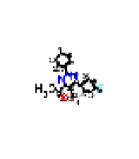 CC(C)c1nc(-c2ccccc2)nc(-c2ccc(F)cc2)c1CO